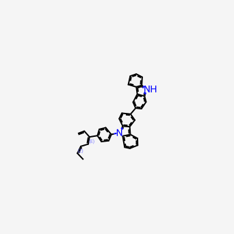 C=C/C(=C\C=C/C)c1ccc(-n2c3ccccc3c3cc(-c4ccc5[nH]c6ccccc6c5c4)ccc32)cc1